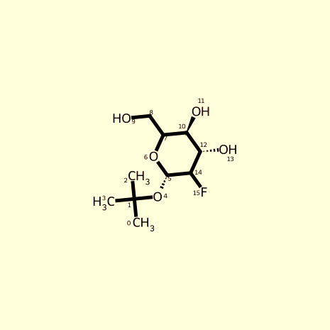 CC(C)(C)O[C@@H]1OC(CO)[C@@H](O)[C@H](O)C1F